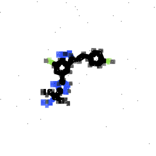 CC(C)(N)c1nnc(-c2cc(F)c3[nH]nc(/C=C/c4ccc(F)cc4)c3c2)[nH]1